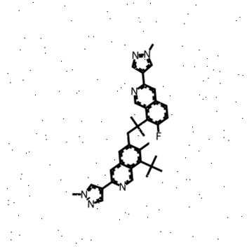 Cc1c(CC(C)(C)c2c(F)ccc3cc(-c4cnn(C)c4)ncc23)cc2cc(-c3cnn(C)c3)ncc2c1C(C)(C)C